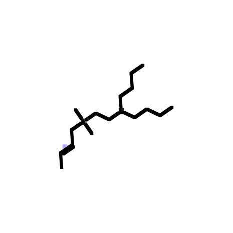 C/C=C/C[Si](C)(C)CCN(CCCC)CCCC